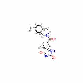 O=C1NC(=O)[C@](CCC(=O)N2CCc3ccc(C(F)(F)F)cc3C2)(C2CC2)N1